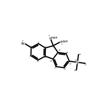 CCCCCCC1(CCCCCC)c2cc(Br)ccc2-c2ccc([Si](C)(C)C)cc21